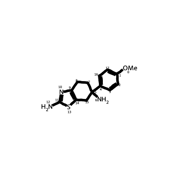 COc1ccc(C2(N)CCc3nc(N)sc3C2)cc1